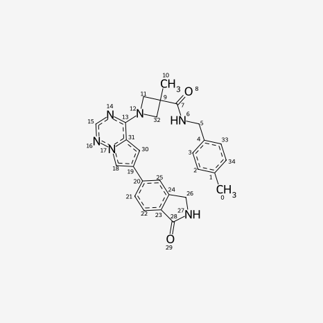 Cc1ccc(CNC(=O)C2(C)CN(c3ncnn4cc(-c5ccc6c(c5)CNC6=O)cc34)C2)cc1